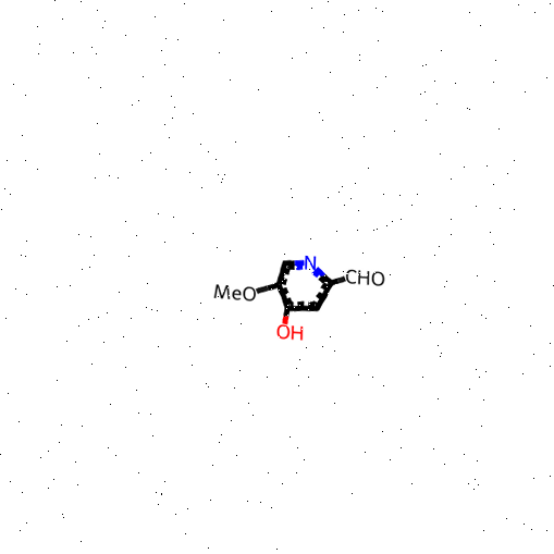 COc1cnc(C=O)cc1O